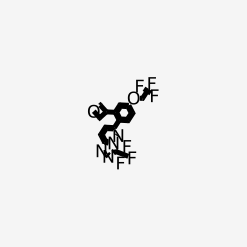 FC(F)(F)COc1ccc(-c2ccc3nnc(C(F)(F)F)n3n2)c(C2COC2)c1